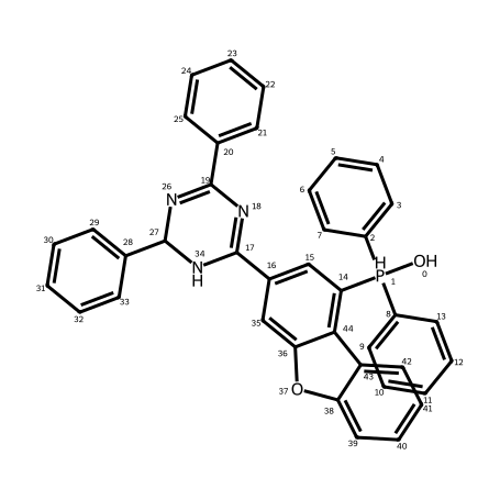 O[PH](c1ccccc1)(c1ccccc1)c1cc(C2=NC(c3ccccc3)=NC(c3ccccc3)N2)cc2oc3ccccc3c12